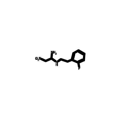 NC(C[N+](=O)[O-])NCCc1ccccc1F